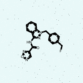 O=C(Nc1nn(Cc2ccc(CF)cc2)c2ccccc12)c1cnon1